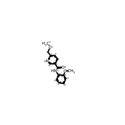 COCc1ccc(C(=O)Nc2ccccc2OC)cn1